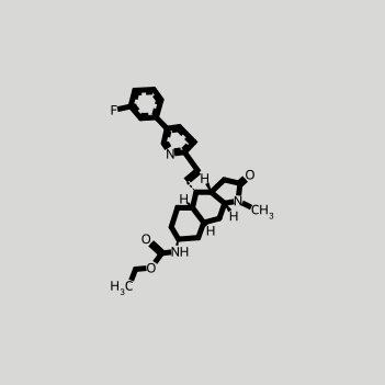 CCOC(=O)N[C@@H]1CC[C@@H]2[C@@H](C1)C[C@@H]1[C@@H](CC(=O)N1C)[C@H]2/C=C/c1ccc(-c2cccc(F)c2)cn1